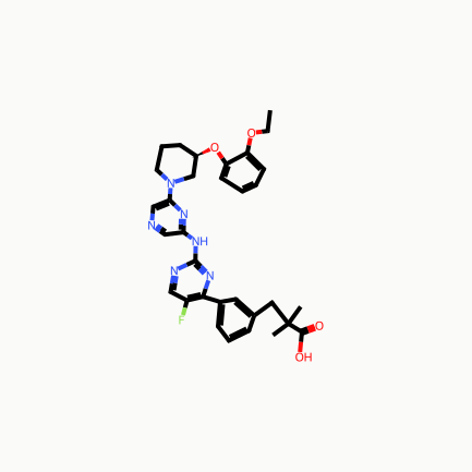 CCOc1ccccc1O[C@@H]1CCCN(c2cncc(Nc3ncc(F)c(-c4cccc(CC(C)(C)C(=O)O)c4)n3)n2)C1